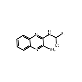 CCC(CC)Nc1nc2ccccc2nc1N